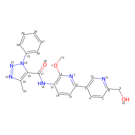 COc1nc(-c2ccc(CO)nc2)ccc1NC(=O)c1c(C)nnn1-c1ccccc1